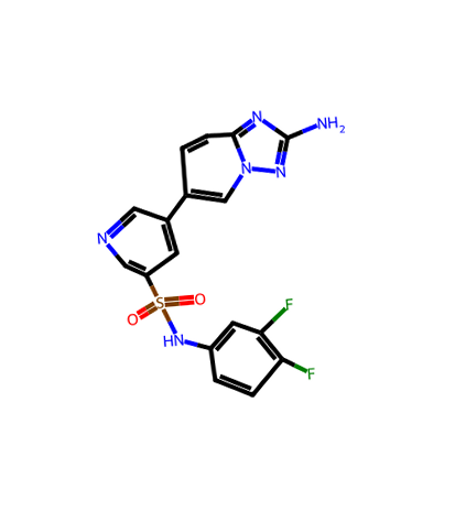 Nc1nc2ccc(-c3cncc(S(=O)(=O)Nc4ccc(F)c(F)c4)c3)cn2n1